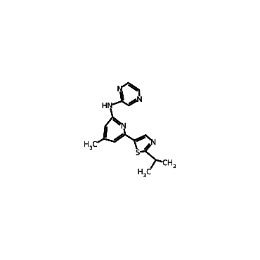 Cc1cc(Nc2cnccn2)nc(-c2cnc(C(C)C)s2)c1